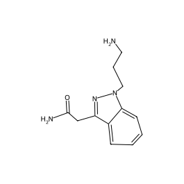 NCCCn1nc(CC(N)=O)c2ccccc21